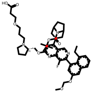 CCc1cccc2cc(OCOC)cc(-c3ncc4c(N5CC6CCC(C5)N6C(=O)OC(C)(C)C)nc(OC[C@@H]5CCCN5CCCOCCC(=O)O)nc4c3F)c12